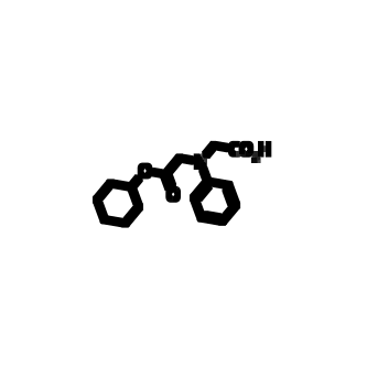 O=C(O)CN(CC(=O)OC1CCCCC1)c1ccccc1